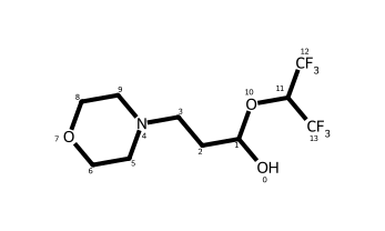 OC(CCN1CCOCC1)OC(C(F)(F)F)C(F)(F)F